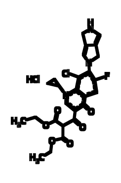 CCOC(=O)C(C(=O)OCC)C(=O)c1cn(C2CC2)c2c(Cl)c(N3C=C4CNC=C4C3)c(F)cc2c1=O.Cl